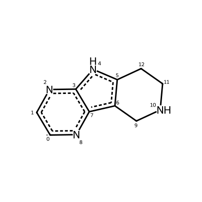 [c]1cnc2[nH]c3c(c2n1)CNCC3